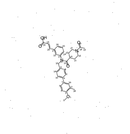 COc1ccc(-c2ccc(CN(C(=O)C3CCN(C(C)=O)CC3)c3cccc(C=CC(=O)O)c3)cc2)cc1C